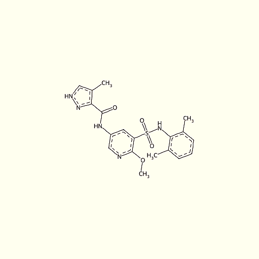 COc1ncc(NC(=O)c2n[nH]cc2C)cc1S(=O)(=O)Nc1c(C)cccc1C